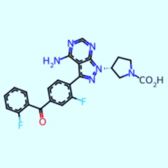 Nc1ncnc2c1c(-c1ccc(C(=O)c3ccccc3F)cc1F)nn2[C@@H]1CCN(C(=O)O)C1